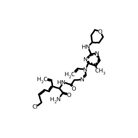 C=C/C(=C\C=C/CCl)C(NC(=O)C/N=C\N(C=C)c1nc(NC2CCOCC2)ncc1C)C(N)=O